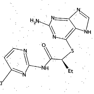 CC[C@H](Sc1nc(N)nc2nc[nH]c12)C(=O)Nc1nccc(Cl)n1